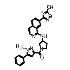 Cc1nc(-c2ccc3ccnc(NC4CCN(C(=O)c5cc(-c6ccccc6)n(C)n5)C4)c3c2)no1